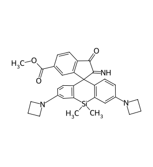 COC(=O)c1ccc2c(c1)C1(C(=N)C2=O)c2ccc(N3CCC3)cc2[Si](C)(C)c2cc(N3CCC3)ccc21